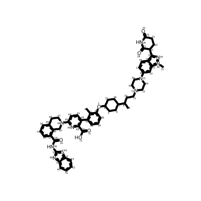 Cc1c(OC2CCC(C(C)CCN3CCN(c4ccc5c(C6CCC(=O)NC6=O)nn(C)c5c4)CC3)CC2)cccc1-c1ccc(N2CCc3cccc(C(=O)Nc4nc5ccccc5s4)c3C2)nc1C(=O)O